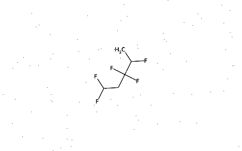 [CH2]C(F)C(F)(F)CC(F)F